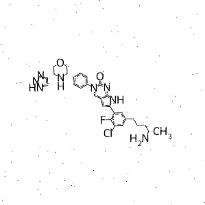 C[C@H](N)CCCc1cc(Cl)c(F)c(-c2cc3cn(-c4ccc([C@H]5COC[C@@H](c6c[nH]nn6)N5)cc4)c(=O)nc3[nH]2)c1